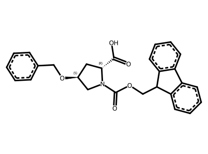 O=C(O)[C@H]1C[C@H](OCc2ccccc2)CN1C(=O)OCC1c2ccccc2-c2ccccc21